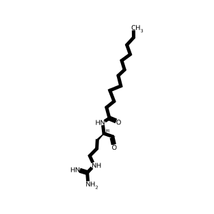 CCCCCCCCCCCC(=O)N[C@@H]([C]=O)CCCNC(=N)N